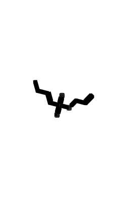 C=CCOS(=O)(=O)C=CCC